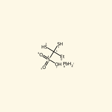 CCC(S)(S)S(=O)(=O)O.[PbH2]